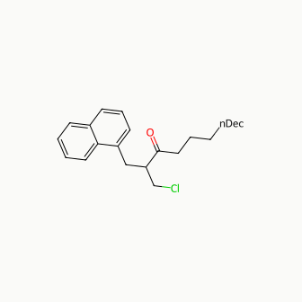 CCCCCCCCCCCCCC(=O)C(CCl)Cc1cccc2ccccc12